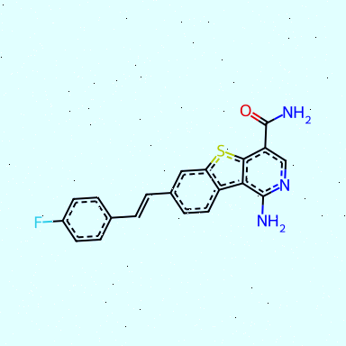 NC(=O)c1cnc(N)c2c1sc1cc(/C=C/c3ccc(F)cc3)ccc12